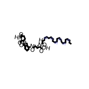 CC/C=C\C/C=C\C/C=C\C/C=C\C/C=C\C/C=C\CCC(=O)NC(CCC(=O)Nc1cccc2c1CN([C@H]1CCC(=O)NC1=O)C2=O)C(=O)O